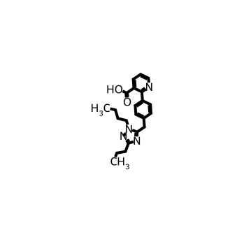 CCCCn1nc(CCC)nc1Cc1ccc(-c2ncccc2C(=O)O)cc1